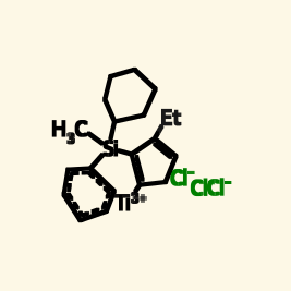 CCC1=CC[C]([Ti+3])=C1[Si](C)(c1ccccc1)C1CCCCC1.[Cl-].[Cl-].[Cl-]